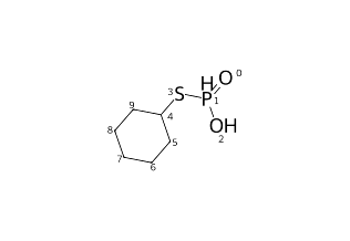 O=[PH](O)SC1CCCCC1